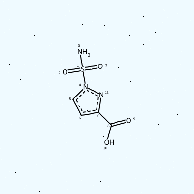 NS(=O)(=O)n1ccc(C(=O)O)n1